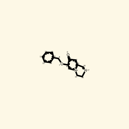 O=c1cc2n(cc1OCc1ccccc1)CCN=C2